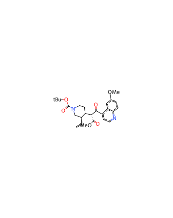 C=C[C@H]1CN(C(=O)OC(C)(C)C)CC[C@H]1[C@@H](C(=O)OC)C(=O)c1ccnc2ccc(OC)cc12